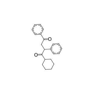 O=C(CC(C(=O)C1CCCCC1)c1ccccc1)c1ccccc1